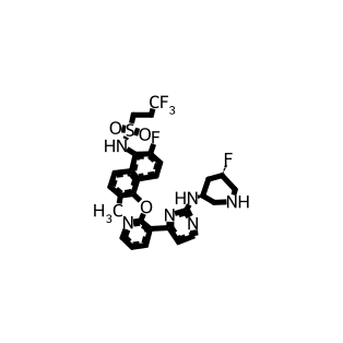 Cc1ccc2c(NS(=O)(=O)CCC(F)(F)F)c(F)ccc2c1Oc1ncccc1-c1ccnc(N[C@@H]2CNC[C@@H](F)C2)n1